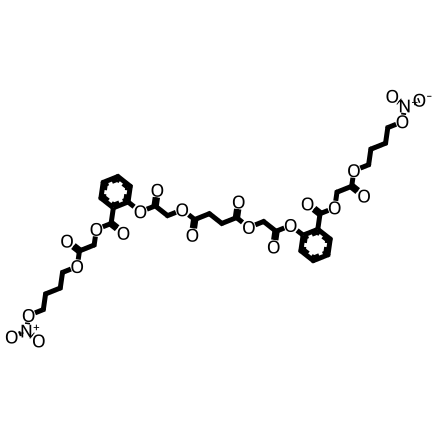 O=C(CCC(=O)OCC(=O)Oc1ccccc1C(=O)OCC(=O)OCCCCO[N+](=O)[O-])OCC(=O)Oc1ccccc1C(=O)OCC(=O)OCCCCO[N+](=O)[O-]